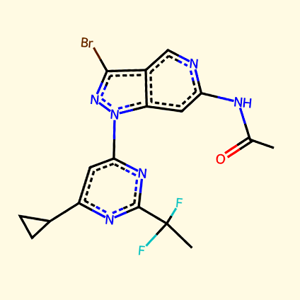 CC(=O)Nc1cc2c(cn1)c(Br)nn2-c1cc(C2CC2)nc(C(C)(F)F)n1